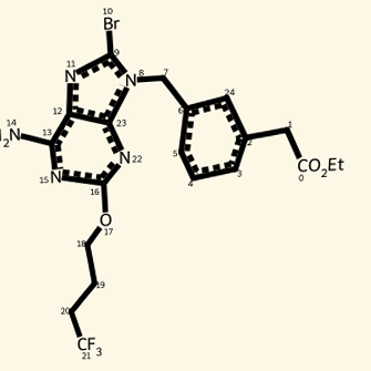 CCOC(=O)Cc1cccc(Cn2c(Br)nc3c(N)nc(OCCCC(F)(F)F)nc32)c1